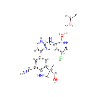 CC(C)OCCOc1ncc(Cl)cc1Nc1nccc(-c2cc(C#N)c3c(c2)C(C)(CO)CN3)n1